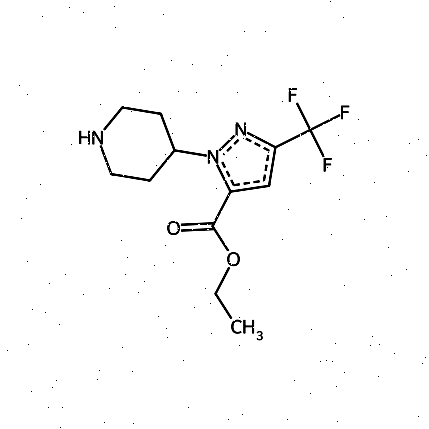 CCOC(=O)c1cc(C(F)(F)F)nn1C1CCNCC1